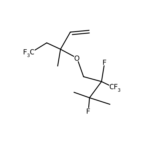 C=CC(C)(CC(F)(F)F)OCC(F)(C(C)(C)F)C(F)(F)F